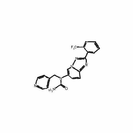 NC(=O)N(Cc1ccncc1)c1ccc2nc(-c3ccccc3C(F)(F)F)nn2c1